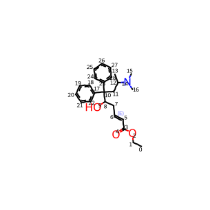 CCOC(=O)/C=C/CC(O)C(CC(C)N(C)C)(c1ccccc1)c1ccccc1